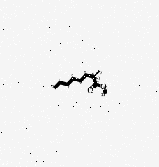 CCCCCC[C@@H](C)C(=O)OC